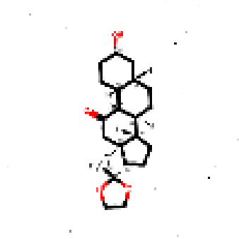 CC1([C@H]2CC[C@H]3[C@@H]4CC[C@H]5C[C@H](O)CC[C@@H]5[C@H]4C(=O)C[C@]23C)OCCO1